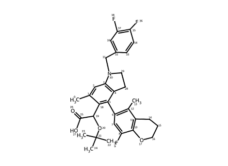 Cc1cc2c(c(-c3cc(F)c4c(c3C)CCCO4)c1C(OC(C)(C)C)C(=O)O)CCN2Cc1ccc(F)c(F)c1